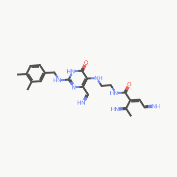 CC(=N)/C(=C\C=N)C(=O)NCCNc1c(C=N)nc(NCc2ccc(C)c(C)c2)[nH]c1=O